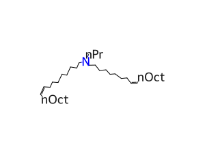 CCCCCCCC/C=C\CCCCCCCCN(CCC)CCCCCCCC/C=C\CCCCCCCC